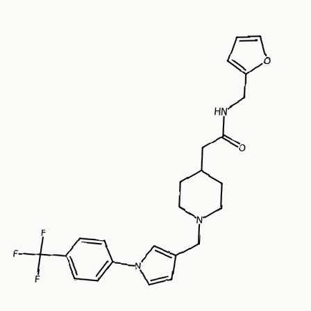 O=C(CC1CCN(Cc2ccn(-c3ccc(C(F)(F)F)cc3)c2)CC1)NCc1ccco1